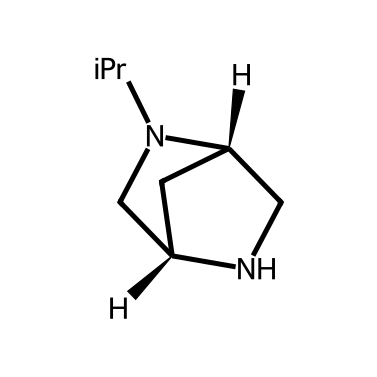 CC(C)N1C[C@@H]2C[C@H]1CN2